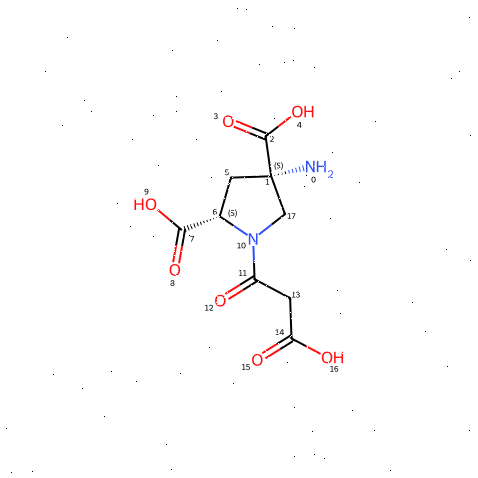 N[C@@]1(C(=O)O)C[C@@H](C(=O)O)N(C(=O)CC(=O)O)C1